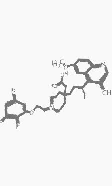 COc1ccc2ncc(C)c([C@@H](F)CCC3(CC(=O)O)CCN(CCOc4cc(F)cc(F)c4F)CC3)c2c1